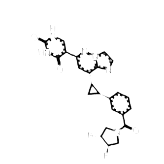 O=C(c1cccc([C@H]2C[C@@H]2c2cc(-c3c[nH]c(=O)[nH]c3=O)nn3ccnc23)c1)N1C[C@@H](F)[C@H](F)C1